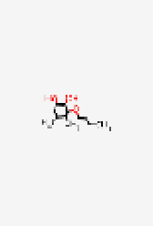 CCCCOc1c(C)c(C)cc(O)c1O